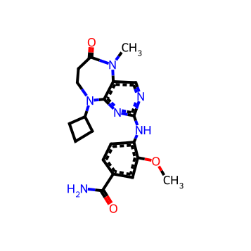 COc1cc(C(N)=O)ccc1Nc1ncc2c(n1)N(C1CCC1)CCC(=O)N2C